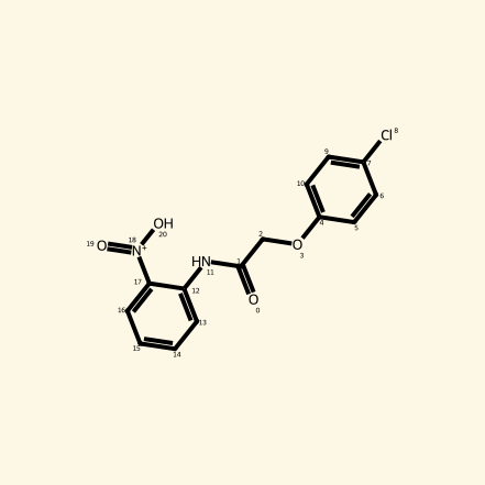 O=C(COc1ccc(Cl)cc1)Nc1ccccc1[N+](=O)O